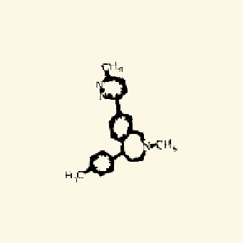 Cc1ccc(C2CCN(C)Cc3cc(-c4ccc(C)nn4)ccc32)cc1